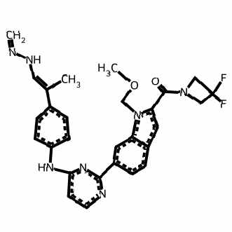 C=NN/C=C(\C)c1ccc(Nc2ccnc(-c3ccc4cc(C(=O)N5CC(F)(F)C5)n(COC)c4c3)n2)cc1